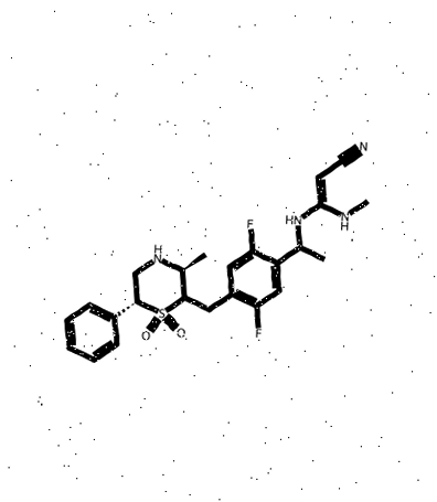 CNC(=CC#N)NC(C)c1cc(F)c(CC2[C@H](C)NC[C@@H](c3ccccc3)S2(=O)=O)cc1F